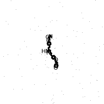 CN(C)C(=O)COc1ccc(C=Cc2cc(C=Cc3ccc(OCCN4CCOCC4)cc3)n[nH]2)cc1